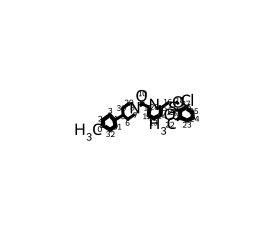 Cc1ccc(C2CCN(C(=O)c3cccc(CS(=O)(=O)c4c(C)cccc4Cl)n3)CC2)cc1